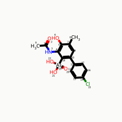 CC(=O)Nc1c(O)c(C)cc(-c2ccc(Cl)cc2)c1[As](=O)(O)O